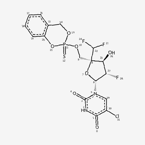 O=c1[nH]c(=O)n([C@@H]2O[C@@](COP3(=S)OCc4ccccc4O3)(C(F)F)[C@@H](O)[C@@H]2F)cc1Cl